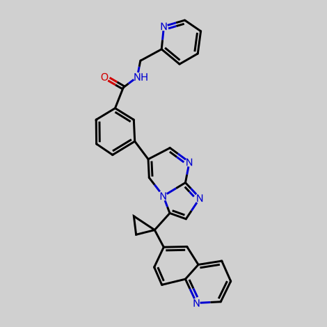 O=C(NCc1ccccn1)c1cccc(-c2cnc3ncc(C4(c5ccc6ncccc6c5)CC4)n3c2)c1